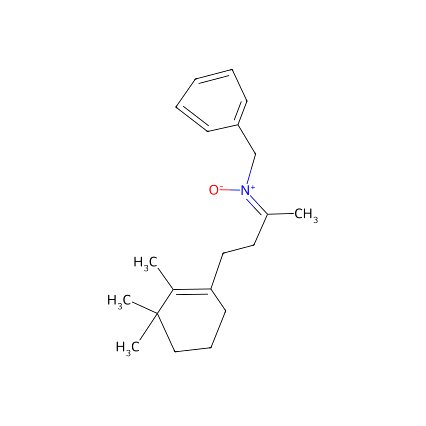 CC1=C(CCC(C)=[N+]([O-])Cc2ccccc2)CCCC1(C)C